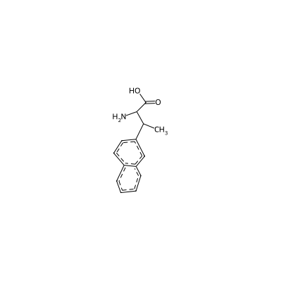 CC(c1ccc2ccccc2c1)C(N)C(=O)O